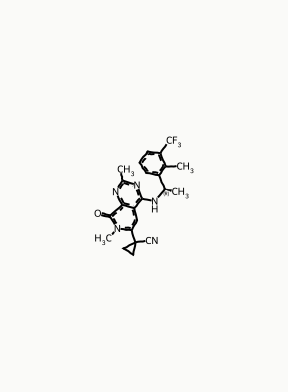 Cc1nc(N[C@H](C)c2cccc(C(F)(F)F)c2C)c2cc(C3(C#N)CC3)n(C)c(=O)c2n1